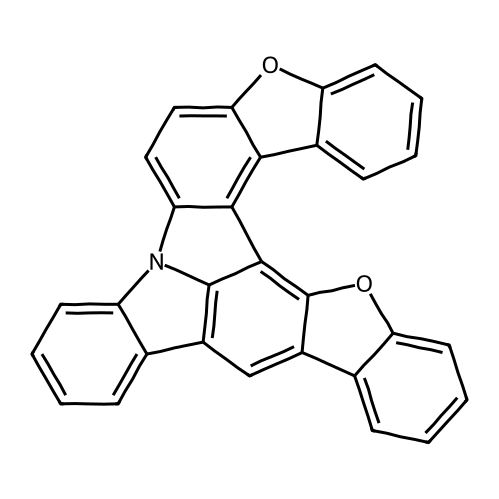 c1ccc2c(c1)oc1c2cc2c3ccccc3n3c4ccc5oc6ccccc6c5c4c1c23